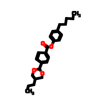 CCCCCc1ccc(OC(=O)c2ccc(C3OCC(CCC)CO3)cc2)cc1